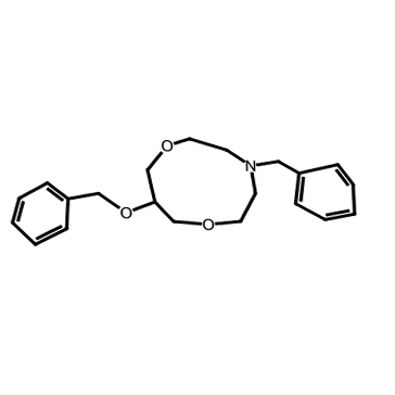 c1ccc(COC2COCCN(Cc3ccccc3)CCOC2)cc1